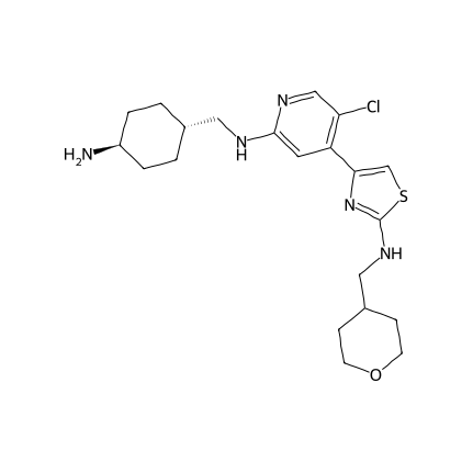 N[C@H]1CC[C@H](CNc2cc(-c3csc(NCC4CCOCC4)n3)c(Cl)cn2)CC1